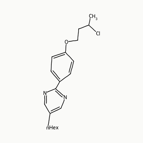 CCCCCCc1cnc(-c2ccc(OCCC(C)Cl)cc2)nc1